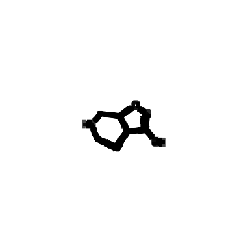 OC1=NOC2CNCCC12